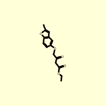 CCOC(=O)CC(=O)COc1ccc2oc(C)cc2c1